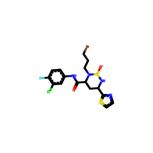 O=C(Nc1ccc(F)c(Cl)c1)C1CC(c2nccs2)N[S+]([O-])N1CCCBr